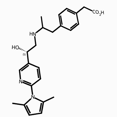 Cc1ccc(C)n1-c1ccc([C@H](O)CNC(C)Cc2ccc(CC(=O)O)cc2)cn1